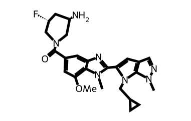 COc1cc(C(=O)N2C[C@H](N)C[C@@H](F)C2)cc2nc(-c3cc4cnn(C)c4n3CC3CC3)n(C)c12